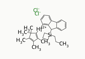 CCC[Si]1(C2c3ccccc3-c3ccc[c]([Hf+2][C]4=C(C)C(C)=C(C)C4(C)C)c32)CCC1.[Cl-].[Cl-]